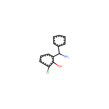 NC(c1ccccc1)c1cccc(Cl)c1O